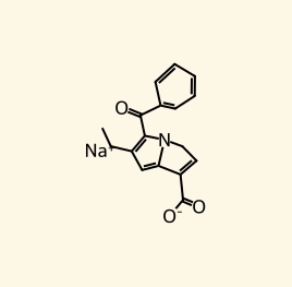 CCc1cc2n(c1C(=O)c1ccccc1)CC=C2C(=O)[O-].[Na+]